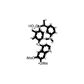 COc1cc2nccc(Oc3ccc(N(C(=O)O)C(C)c4cccc(N(C)C)c4)c(C)c3C)c2cc1OC